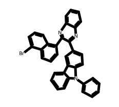 Brc1cccc2c(-c3nc4ccccc4nc3-c3ccc4c(c3)c3ccccc3n4-c3ccccc3)cccc12